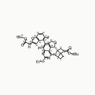 CCSc1nc(N2C3CCC34C2CN4C(=O)OC(C)(C)C)c2c3c(c(-c4c(F)ccc5oc(NC(=O)OC(C)(C)C)cc45)c(F)c2n1)COC3